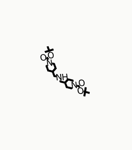 CC(C)(C)OC(=O)N1CCC(CNCC2CCN(C(=O)OC(C)(C)C)CC2)CC1